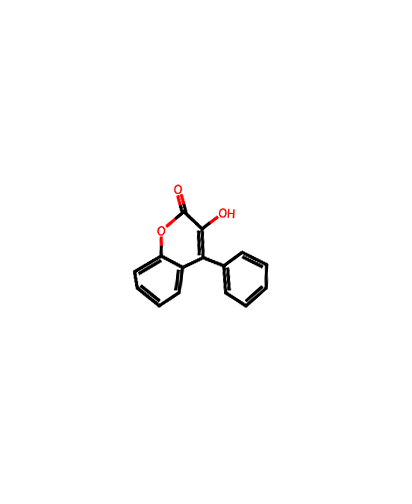 O=c1oc2ccccc2c(-c2ccccc2)c1O